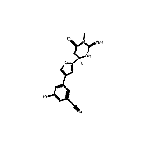 CN1C(=N)N[C@@](C)(c2cc(-c3cc(Br)cc(C#N)c3)cs2)CC1=O